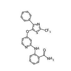 NC(=O)c1ccccc1Nc1cc(Oc2sc(C(F)(F)F)nc2-c2ccccc2)ccn1